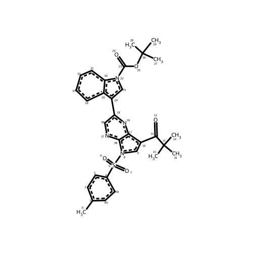 Cc1ccc(S(=O)(=O)n2cc(C(=O)C(C)(C)C)c3nc(-c4cn(C(=O)OC(C)(C)C)c5ccccc45)cnc32)cc1